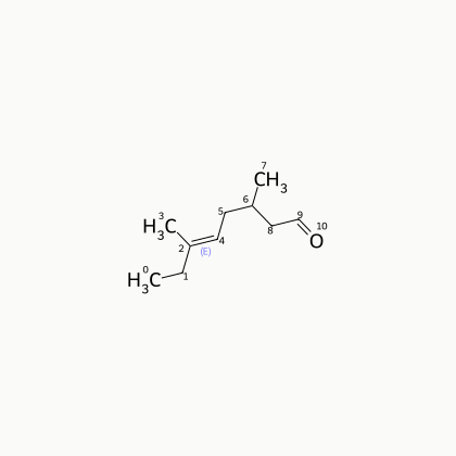 CC/C(C)=C/CC(C)CC=O